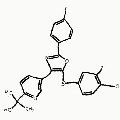 CC(C)(O)c1ccc(-c2nc(-c3ccc(F)cc3)oc2Sc2ccc(Cl)c(F)c2)cn1